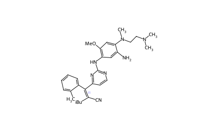 CCC(C)/C(C#N)=C(/c1ccnc(Nc2cc(N)c(N(C)CCN(C)C)cc2OC)n1)c1ccccc1C